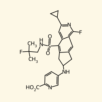 CC(C)(F)CNS(=O)(=O)c1c2c(cc3c(F)nc(C4CC4)cc13)CC(Nc1ccc(C(=O)O)nc1)C2